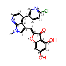 Cn1cc(C=C2Oc3cc(O)cc(O)c3C2=O)c2c(-c3ccc(Cl)nc3)ccnc21